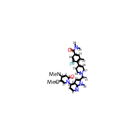 CNc1cc(=O)n(-c2ccnc3c2cc([C@H](C)N2CC=C(c4c(C)cc(C(=O)N(C)C)cc4F)CC2)n3C)cc1OC